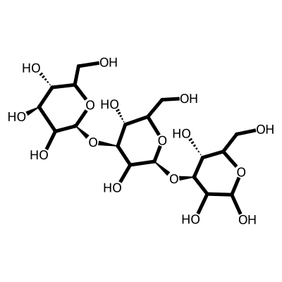 OCC1O[C@@H](O[C@@H]2C(O)[C@H](O[C@@H]3C(O)C(O)OC(CO)[C@H]3O)OC(CO)[C@H]2O)C(O)[C@@H](O)[C@@H]1O